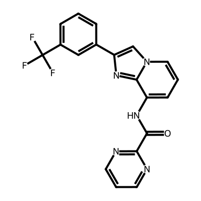 O=C(Nc1cccn2cc(-c3cccc(C(F)(F)F)c3)nc12)c1ncccn1